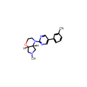 N#Cc1cccc(-c2cnc(N3CCO[C@H]4CN(C#N)C[C@H]43)nc2)c1